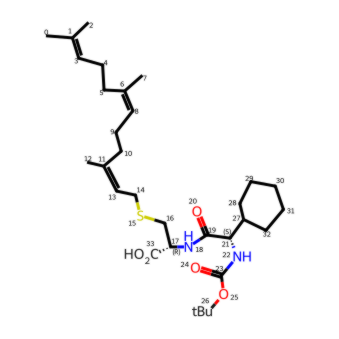 CC(C)=CCCC(C)=CCCC(C)=CCSC[C@H](NC(=O)[C@@H](NC(=O)OC(C)(C)C)C1CCCCC1)C(=O)O